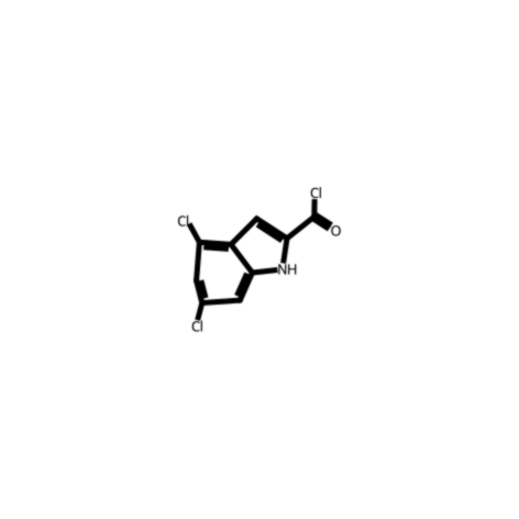 O=C(Cl)c1cc2c(Cl)cc(Cl)cc2[nH]1